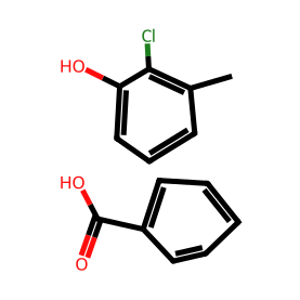 Cc1cccc(O)c1Cl.O=C(O)c1ccccc1